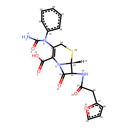 NC(=O)N(C1=C(C(=O)O)N2C(=O)C(NC(=O)Cc3ccco3)[C@H]2SC1)c1ccccc1